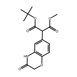 COC(=O)C(C(=O)OC(C)(C)C)c1ccc2c(c1)NC(=O)CO2